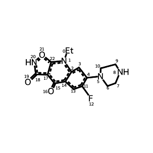 CCn1c2cc(N3CCNCC3)c(F)cc2c(=O)c2c(=O)[nH]oc21